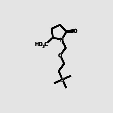 CS(C)(C)CCOCN1C(=O)CCC1C(=O)O